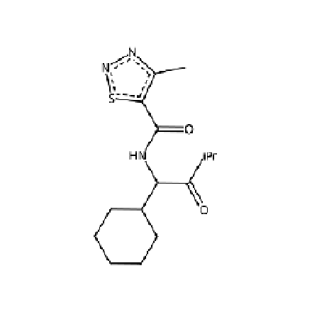 Cc1nnsc1C(=O)NC(C(=O)C(C)C)C1CCCCC1